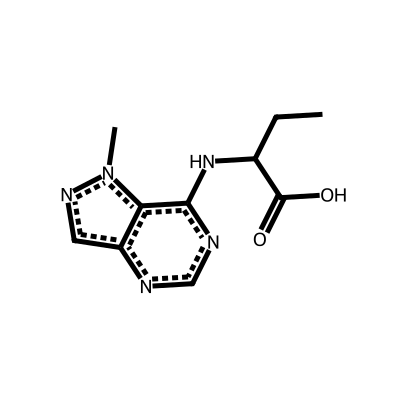 CCC(Nc1ncnc2cnn(C)c12)C(=O)O